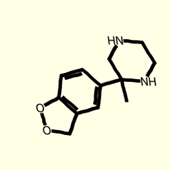 CC1(c2ccc3c(c2)COO3)CNCCN1